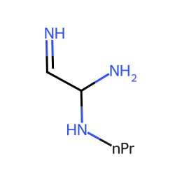 CCCNC(N)C=N